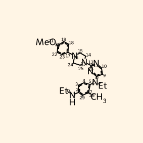 CCNc1ccc(N(CC)c2ccnc(N3CCN(c4ccc(OC)cc4)CC3)n2)c(C)c1